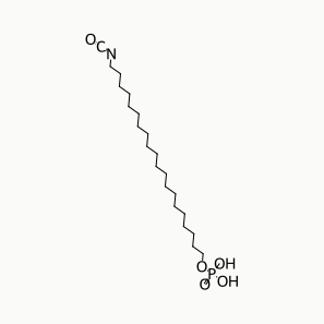 O=C=NCCCCCCCCCCCCCCCCCCCCOP(=O)(O)O